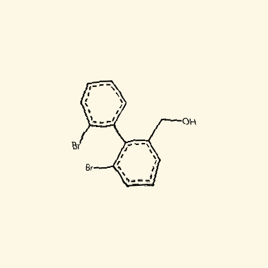 OCc1cccc(Br)c1-c1ccccc1Br